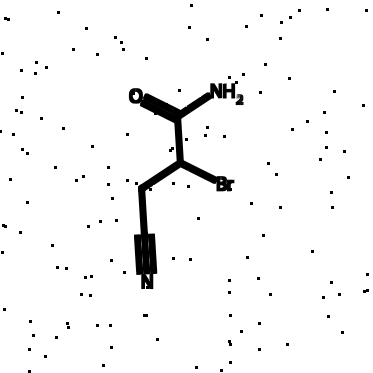 N#CCC(Br)C(N)=O